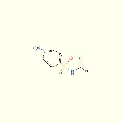 CCC(=O)NS(=O)(=O)c1ccc(N)cc1